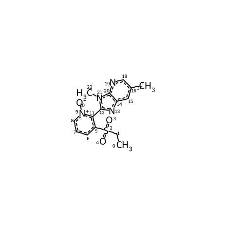 CCS(=O)(=O)c1ccc[n+]([O-])c1-c1nc2cc(C)cnc2n1C